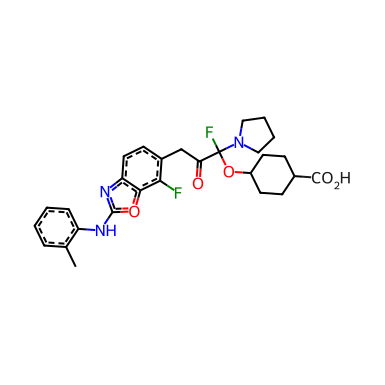 Cc1ccccc1Nc1nc2ccc(CC(=O)C(F)(OC3CCC(C(=O)O)CC3)N3CCCC3)c(F)c2o1